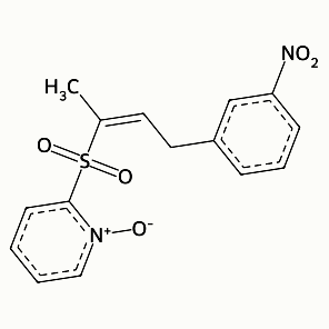 CC(=CCc1cccc([N+](=O)[O-])c1)S(=O)(=O)c1cccc[n+]1[O-]